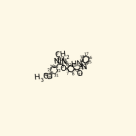 C=C/C=N\C(Oc1ccc(C(=O)c2nc3ccccc3[nH]2)cc1)=C(/N)C1=CC[C@@H](OC)CC1